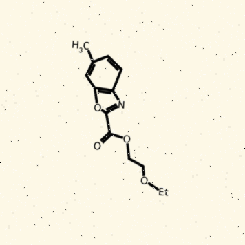 CCOCCOC(=O)c1nc2ccc(C)cc2o1